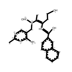 C/C(=C(CCO)/[SH]=C(\O)c1ccc2ccccc2c1)N(C=O)Cc1cnc(C)nc1N